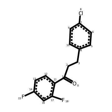 O=C(CCc1ccc(Cl)cc1)c1ccc(F)cc1F